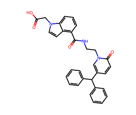 O=C(O)Cn1ccc2c(C(=O)NCCn3cc(C(c4ccccc4)c4ccccc4)ccc3=O)cccc21